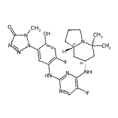 Cn1c(=O)nnn1-c1cc(Nc2ncc(F)c(N[C@@H]3C[C@@H]4CCCN4C(C)(C)C3)n2)c(F)cc1O